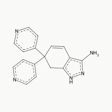 Nc1n[nH]c2c1C=CC(c1ccncc1)(c1ccncc1)C2